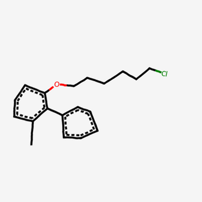 Cc1cccc(OCCCCCCCl)c1-c1ccccc1